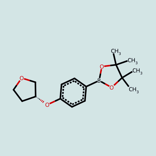 CC1(C)OB(c2ccc(O[C@@H]3CCOC3)cc2)OC1(C)C